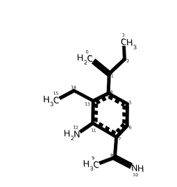 C=C(CC)c1ccc(C(C)=N)c(N)c1CC